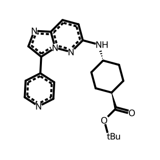 CC(C)(C)OC(=O)[C@H]1CC[C@H](Nc2ccc3ncc(-c4ccncc4)n3n2)CC1